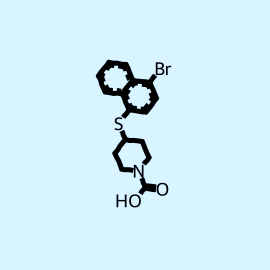 O=C(O)N1CCC(Sc2ccc(Br)c3ccccc23)CC1